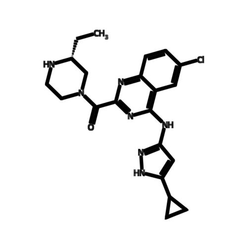 CC[C@@H]1CN(C(=O)c2nc(Nc3cc(C4CC4)[nH]n3)c3cc(Cl)ccc3n2)CCN1